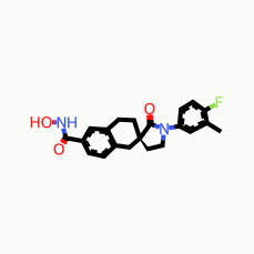 Cc1cc(N2CC[C@@]3(CCc4cc(C(=O)NO)ccc4C3)C2=O)ccc1F